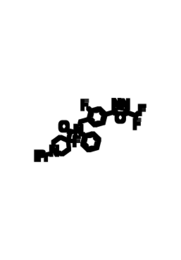 CC(C)N1CCC(F)(C(=O)N(Cc2ccc(-c3nnc(C(F)F)o3)cc2F)c2ccccc2)CC1